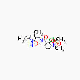 Cc1cc(C)c(CN2CCc3ccc(N(C)S(C)(=O)=O)c(Cl)c3C2=O)c(=O)[nH]1